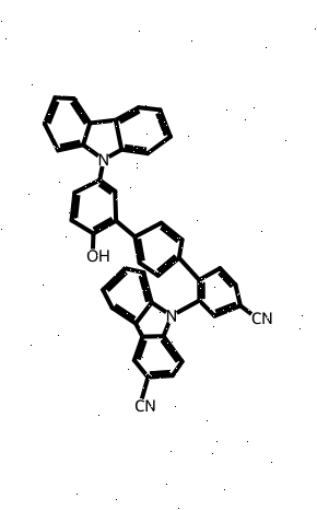 N#Cc1ccc(-c2ccc(-c3cc(-n4c5ccccc5c5ccccc54)ccc3O)cc2)c(-n2c3ccccc3c3cc(C#N)ccc32)c1